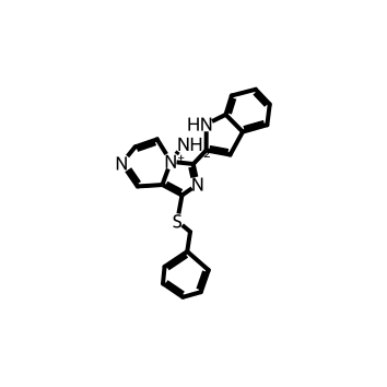 N[N+]12C=CN=CC1=C(SCc1ccccc1)N=C2c1cc2ccccc2[nH]1